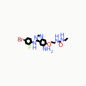 CCNC(=O)NCCOc1cc2ncnc(Nc3ccc(Br)cc3F)c2cc1N